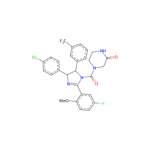 COc1ccc(F)cc1C1=NC(c2ccc(Cl)cc2)C(c2cccc(C(F)(F)F)c2)N1C(=O)N1CCNC(=O)C1